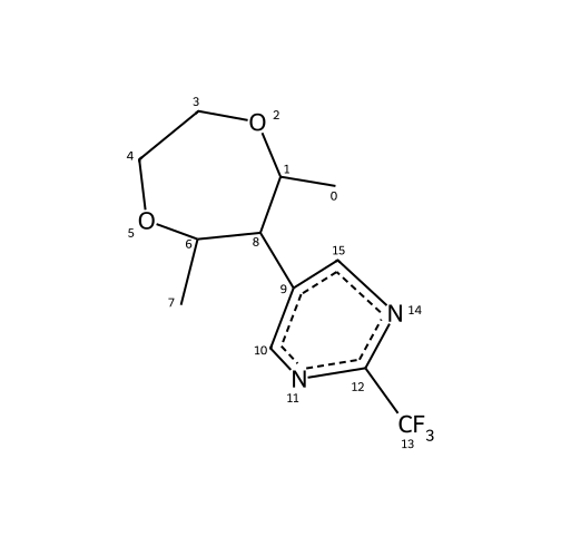 CC1OCCOC(C)C1c1cnc(C(F)(F)F)nc1